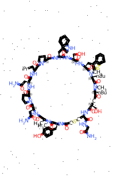 CCCC[C@H]1C(=O)N(C)[C@@H](CCCC)C(=O)C[C@@H](CO)C(=O)NC(C(=O)NCC(N)=O)CSCC(=O)N[C@@H](Cc2ccc(O)cc2)C(=O)N(C)[C@@H](C)C(=O)N[C@@H](CC(N)=O)C(=O)N2CCC[C@H]2C(=O)N[C@@H](CC(N)=O)C(=O)NC(CC(C)C)C(=O)N2CCC[C@H]2C(=O)N[C@@H](Cc2c[nH]c3ccccc23)C(=O)N[C@@H](CO)C(=O)N[C@@H](Cc2csc3ccccc23)C(=O)N1C